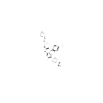 O=C(NCCN1CCCC1)c1cn2c3c(c(N4CCN(C(=O)C(F)(F)F)CC4)c(F)cc3c1=O)Oc1cc(Cl)ccc1-2